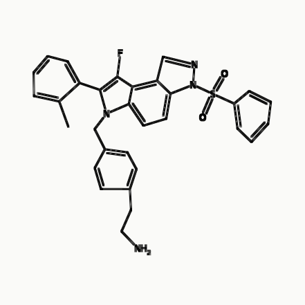 Cc1ccccc1-c1c(F)c2c3cnn(S(=O)(=O)c4ccccc4)c3ccc2n1Cc1ccc(CCN)cc1